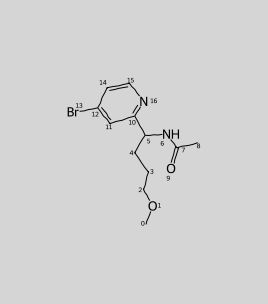 COCCCC(NC(C)=O)c1cc(Br)ccn1